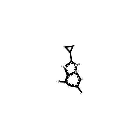 Cc1cc(F)c2nc(C3CC3)nn2c1